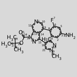 Cc1cc(N)cc(F)c1-c1cncc2c1c(-c1cnn(C)c1)nn2C(=O)OC(C)(C)C